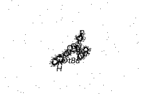 CC(C)(C)N1CCN(c2c(F)cccc2[C@@H]2S[C@@H](CC(=O)N3CCC(N4CCc5ccccc5NC4=O)CC3)C(=O)N2CCc2ccc(F)cc2)CC1